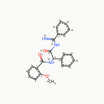 COc1ccccc1C(=O)NC(C(=O)NC(=N)c1ccccc1)c1ccccc1